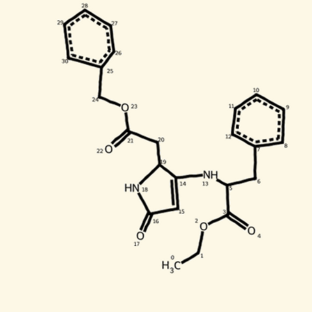 CCOC(=O)C(Cc1ccccc1)NC1=CC(=O)NC1CC(=O)OCc1ccccc1